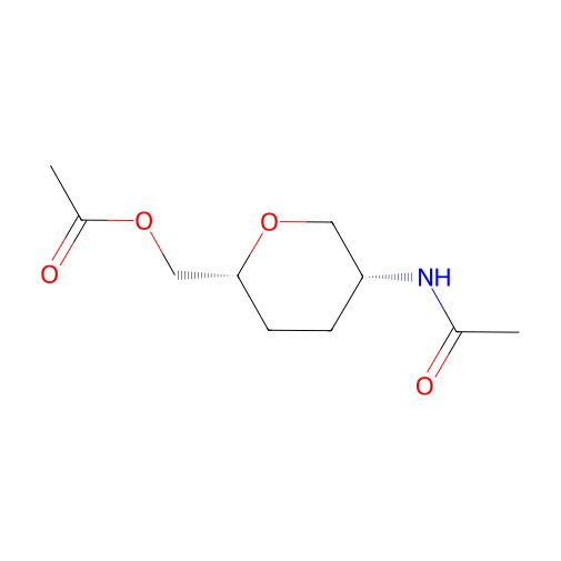 CC(=O)N[C@@H]1CC[C@H](COC(C)=O)OC1